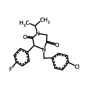 CC(C)N1CC(=O)N(Cc2ccc(Cl)cc2)C(c2ccc(F)cc2)C1=O